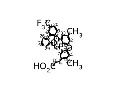 Cc1cc(Oc2ccc(CCC(=O)O)c(C)c2)cc(Oc2ccc(C(F)(F)F)cc2-c2ccccc2OC(F)(F)F)c1